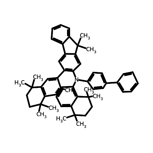 Cc1cc2c(cc1-c1cc3c(cc1N(c1ccc(-c4ccccc4)cc1)c1cccc4c1C(C)(C)CCC4(C)C)C(C)(C)c1ccccc1-3)C(C)(C)CCC2(C)C